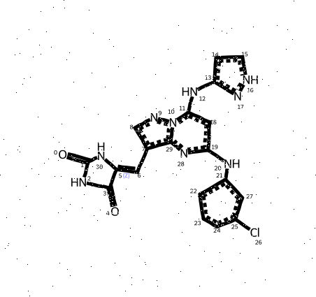 O=C1NC(=O)/C(=C/c2cnn3c(Nc4cc[nH]n4)cc(Nc4cccc(Cl)c4)nc23)N1